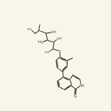 Cc1cc(-c2cccc3c(=O)[nH]ccc23)ccc1OC(O)C(O)C(O)C(O)C(C)CO